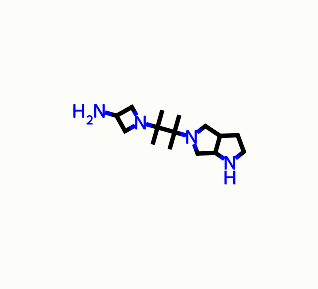 CC(C)(N1CC(N)C1)C(C)(C)N1CC2CCNC2C1